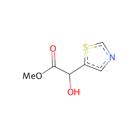 COC(=O)C(O)c1cncs1